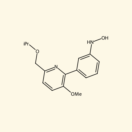 COc1ccc(COC(C)C)nc1-c1cccc(NO)c1